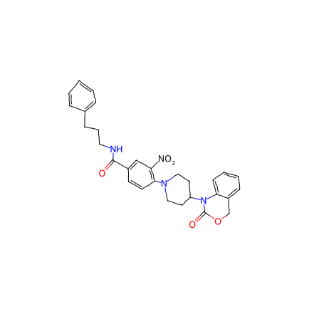 O=C(NCCCc1ccccc1)c1ccc(N2CCC(N3C(=O)OCc4ccccc43)CC2)c([N+](=O)[O-])c1